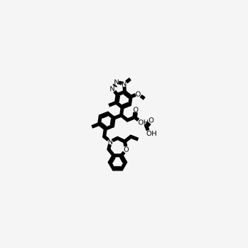 CCC1CN(Cc2cc(C(CC(=O)O)c3cc(OC)c4c(nnn4C)c3C)ccc2C)Cc2ccccc2O1.O=CO